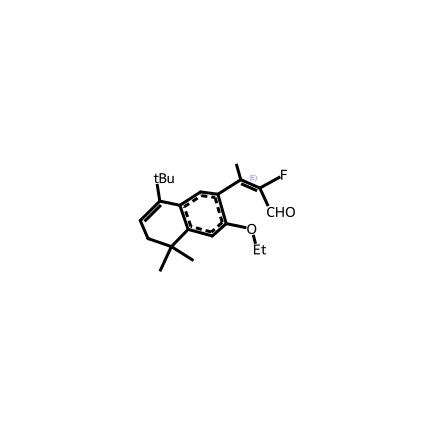 CCOc1cc2c(cc1/C(C)=C(/F)C=O)C(C(C)(C)C)=CCC2(C)C